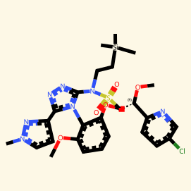 COc1cccc(OC)c1-n1c(-c2ccn(C)n2)nnc1N(CC[Si](C)(C)C)S(=O)(=O)C[C@H](OC)c1ccc(Cl)cn1